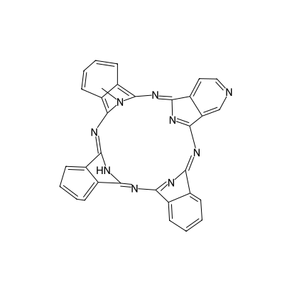 Cn1c2nc3nc(nc4nc(nc5[nH]c(nc1c1ccccc12)c1ccccc51)-c1ccccc1-4)-c1cnccc1-3